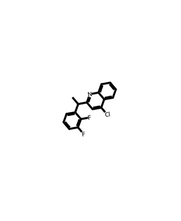 CC(c1cc(Cl)c2ccccc2n1)c1cccc(F)c1F